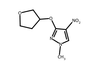 Cn1cc([N+](=O)[O-])c(OC2CCOC2)n1